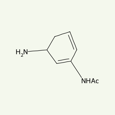 CC(=O)NC1=CC(N)CC=C1